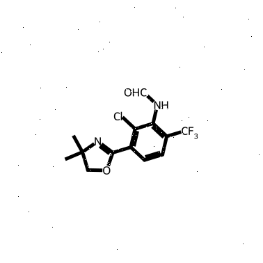 CC1(C)COC(c2ccc(C(F)(F)F)c(NC=O)c2Cl)=N1